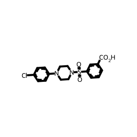 O=C(O)c1cccc(S(=O)(=O)N2CCN(c3ccc(Cl)cc3)CC2)c1